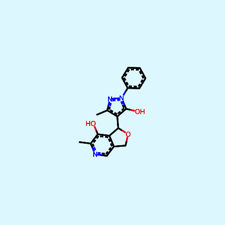 Cc1ncc2c(c1O)C(c1c(C)nn(-c3ccccc3)c1O)OC2